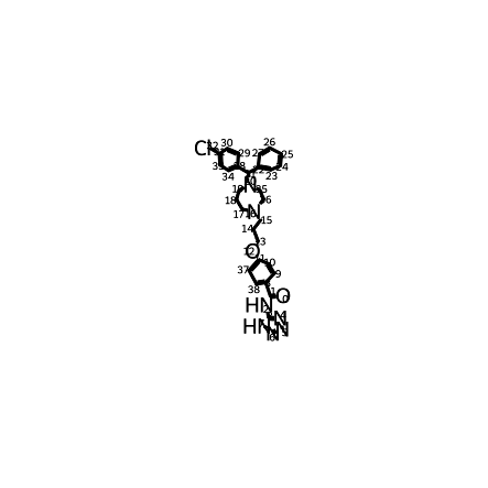 O=C(Nc1nnn[nH]1)c1ccc(OCCCN2CCCN(C(c3ccccc3)c3ccc(Cl)cc3)CC2)cc1